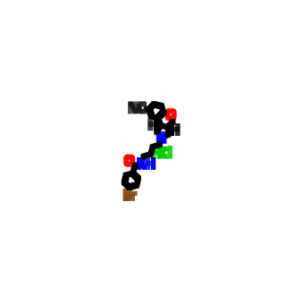 Cl.N#Cc1ccc2c(c1)[C@H]1CN(CCCCNC(=O)c3ccc(Br)cc3)C[C@@H]1CO2